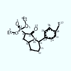 CCOP(=O)(OCC)C1CC2CCCC(c3ccc(F)cc3)N2C1=O